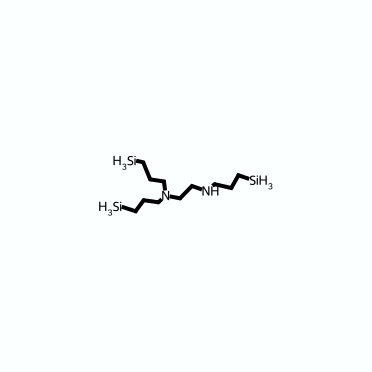 [SiH3]CCCNCCN(CCC[SiH3])CCC[SiH3]